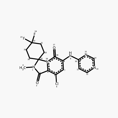 CN1C(=O)c2c(Cl)cc(Nc3ccncn3)c(=O)n2C12CCC(F)(F)CC2